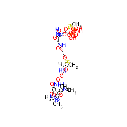 CC/N=c1/cc2oc3cc(NCC)c(C)cc3c(-c3cc(C(=O)NCCOCCOCCNOCCC(C)(C)SSCOCCCCOC(=O)NCC#Cc4cn([C@H]5C[C@H](OCSSCC)[C@@H](COP(=O)(O)O[PH](=O)OP(=O)(O)O)O5)c(=O)[nH]c4=O)ccc3C(=O)ON)c-2cc1C